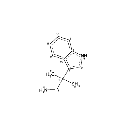 CC(C)(CN)c1c[nH]c2ccccc12